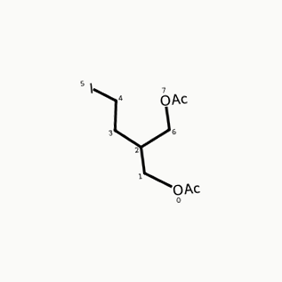 CC(=O)OCC(CCI)COC(C)=O